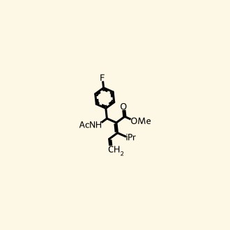 C=C/C(=C(/C(=O)OC)C(NC(C)=O)c1ccc(F)cc1)C(C)C